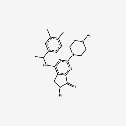 CC(=O)N1CCN(c2nc(NC(C)c3ccc(C)c(C)c3)c3c(n2)C(=O)N(C(C)C)C3)CC1